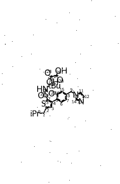 CC(C)Cc1cc(-c2ccc(Cn3ccnc3)cc2)c(S(=O)(=O)NC(C)(C)C)s1.O=C(O)C(=O)O